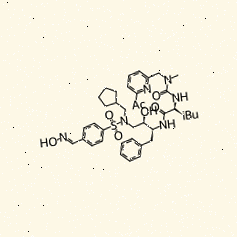 CC[C@H](C)[C@H](NC(=O)N(C)Cc1cccc(C(C)=O)n1)C(=O)N[C@@H](Cc1ccccc1)[C@H](O)CN(CC1CCCC1)S(=O)(=O)c1ccc(/C=N/O)cc1